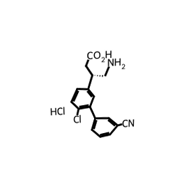 Cl.N#Cc1cccc(-c2cc([C@@H](CN)CC(=O)O)ccc2Cl)c1